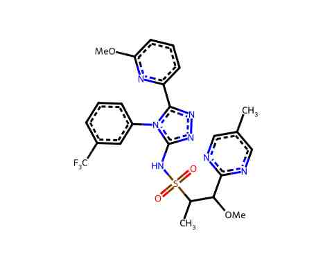 COc1cccc(-c2nnc(NS(=O)(=O)C(C)C(OC)c3ncc(C)cn3)n2-c2cccc(C(F)(F)F)c2)n1